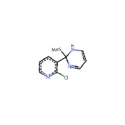 CSC1(c2cccnc2Cl)N=CC=CN1